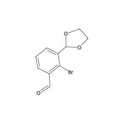 O=Cc1cccc(C2OCCO2)c1Br